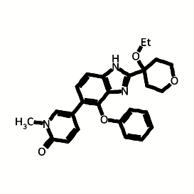 CCOC1(c2nc3c(Oc4ccccc4)c(-c4ccc(=O)n(C)c4)ccc3[nH]2)CCOCC1